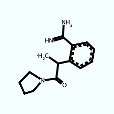 [CH2]C(C(=O)N1CCCC1)c1ccccc1C(=N)N